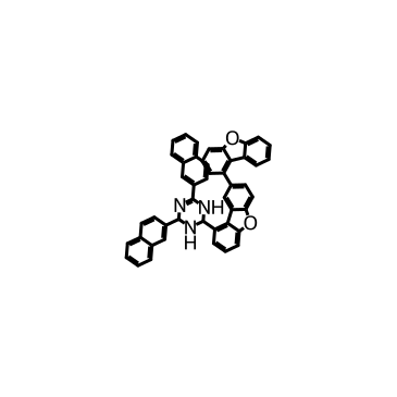 c1ccc2cc(C3=NC(c4ccc5ccccc5c4)NC(c4cccc5oc6ccc(-c7cccc8oc9ccccc9c78)cc6c45)N3)ccc2c1